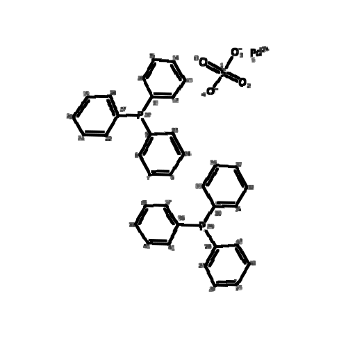 O=S(=O)([O-])[O-].[Pd+2].c1ccc(P(c2ccccc2)c2ccccc2)cc1.c1ccc(P(c2ccccc2)c2ccccc2)cc1